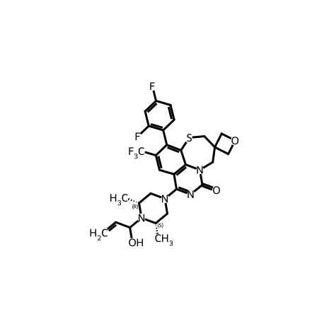 C=CC(O)N1[C@H](C)CN(c2nc(=O)n3c4c(c(-c5ccc(F)cc5F)c(C(F)(F)F)cc24)SCC2(COC2)C3)C[C@@H]1C